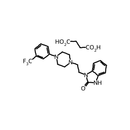 O=C(O)CCC(=O)O.O=c1[nH]c2ccccc2n1CCN1CCN(c2cccc(C(F)(F)F)c2)CC1